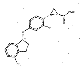 COC(=O)[C@@H]1C[C@H]1c1ccc(O[C@@H]2CCc3c2cccc3C(F)(F)F)cc1F